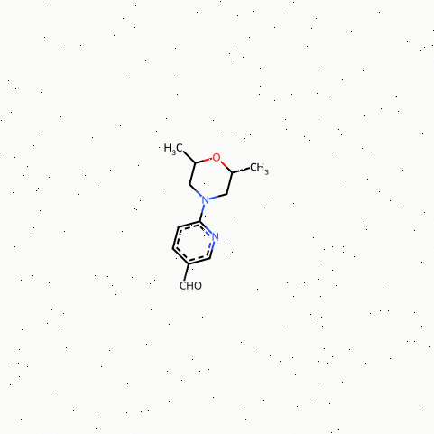 CC1CN(c2ccc(C=O)cn2)CC(C)O1